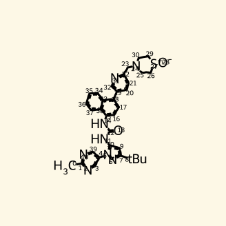 Cc1ncc(-n2nc(C(C)(C)C)cc2NC(=O)Nc2ccc(-c3ccc(CN4CC[S+]([O-])CC4)nc3)c3ccccc23)cn1